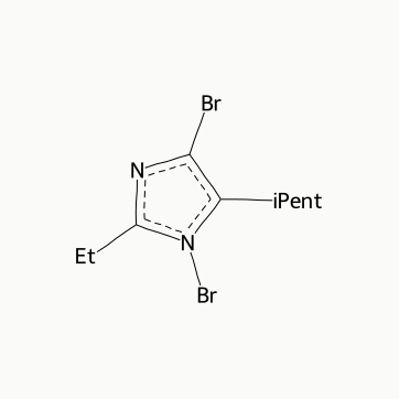 CCCC(C)c1c(Br)nc(CC)n1Br